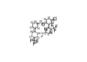 C[CH]c1cnc(C(F)(F)F)c(-c2cc(Cl)ccc2OCc2cccc(C3CCC(C(F)(F)F)CC3)c2)n1